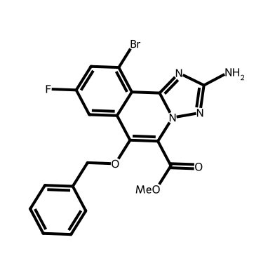 COC(=O)c1c(OCc2ccccc2)c2cc(F)cc(Br)c2c2nc(N)nn12